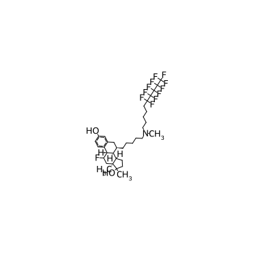 CN(CCCCC[C@@H]1Cc2cc(O)ccc2[C@H]2C(F)C[C@@]3(C)[C@@H](CC[C@]3(C)O)[C@H]12)CCCCCC(F)(F)C(F)(F)C(F)(F)C(F)(F)C(F)(F)F